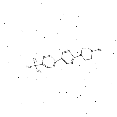 CC(=O)N1CCN(c2ncc(-c3ccc(C(O)(C(F)(F)F)C(F)(F)F)cc3)cn2)CC1